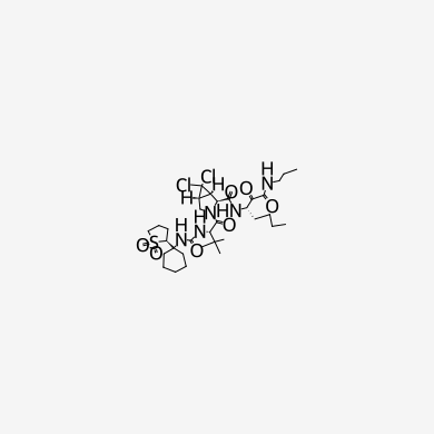 CCCC[C@H](NC(=O)[C@@H]1[C@@H]2[C@H](CN1C(=O)[C@@H](NC(=O)NC1([C@@H]3CCCS3(=O)=O)CCCCC1)C(C)(C)C)C2(Cl)Cl)C(=O)C(=O)NCCC